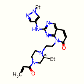 C=CC(=O)N1CCN(CCn2c(=O)ccc3cnc(Nc4cnn(CC)c4)nc32)[C@@H](CC)C1